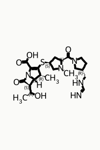 C[C@@H](O)[C@H]1C(=O)N2C(C(=O)O)=C(S[C@H]3C[C@@H](C(=O)N4CC[C@H](CNC=N)C4)N(C)C3)[C@H](C)[C@H]12